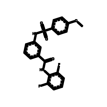 COc1ccc(S(=O)(=O)Nc2cccc(C(=O)Nc3c(F)cccc3F)c2)cc1